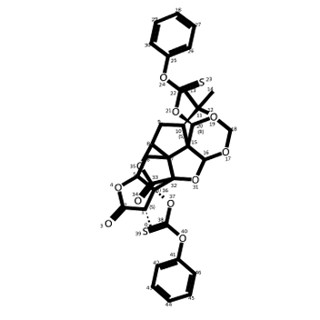 C[C@@H]1C(=O)OC2CC34C5C[C@@H](C(C)(C)C)C36C(OCO[C@@H]6OC(=S)Oc3ccccc3)OC4(C(=O)O5)[C@]21OC(=S)Oc1ccccc1